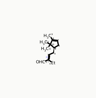 CC/C(C=O)=C\C[C@@H]1CC=C(C)C1(C)C